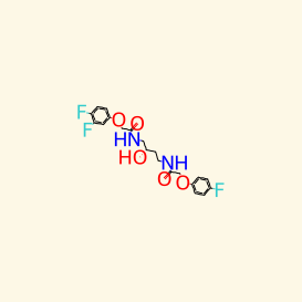 O=C(COc1ccc(F)cc1)NCC[C@H](O)CNC(=O)COc1ccc(F)c(F)c1